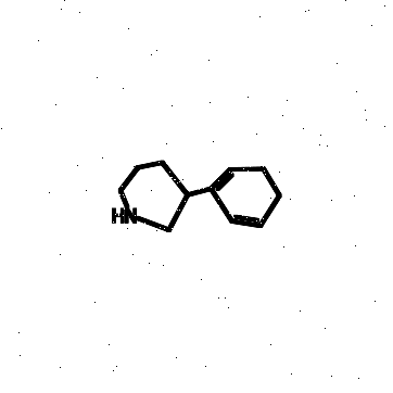 C1=CC(C2CCCNC2)=CCC1